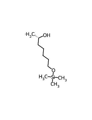 [CH2][C@H](O)CCCCCO[Si](C)(C)C